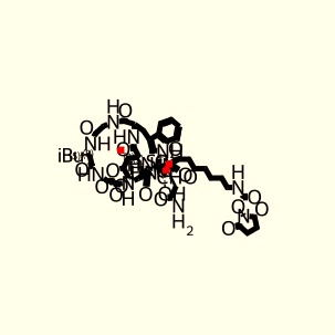 CC[C@H](C)[C@@H]1NC(=O)CNC(=O)C2Cc3c4[nH]c5cc(ccc35)OC(CCCCCCNC(=O)ON3C(=O)CCC3=O)(C(=O)[C@H](CC(N)=O)NC(=O)C(C[S+]4[O-])NC(=O)CNC1=O)N1C[C@H](O)C[C@]1(C=O)N[C@@H]([C@@H](C)C1COC(=O)O1)C(=O)N2